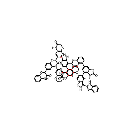 Cn1c(=O)oc2cc(-c3cccc4nc(-c5c(-c6c(-c7nc(N8C(=O)C(c9cnc%10c(c9)NC(=O)CS%10)Oc9ccc(C%10Oc%11cc[c]cc%11NC%10=O)cc98)cc8c7OCCO8)cnc7c6OCCO7)cnc6snnc56)c(-c5ccc6oc(=O)[nH]c6c5)nc34)cc(C3=C(F)C4=C(c5nc6ccccc6[nH]5)NSN4C=C3)c21